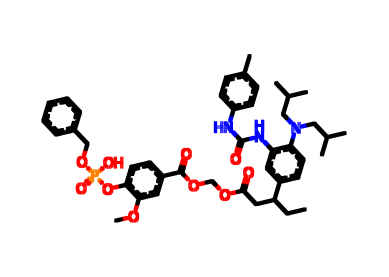 CCC(CC(=O)OCOC(=O)c1ccc(OP(=O)(O)OCc2ccccc2)c(OC)c1)c1ccc(N(CC(C)C)CC(C)C)c(NC(=O)Nc2ccc(C)cc2)c1